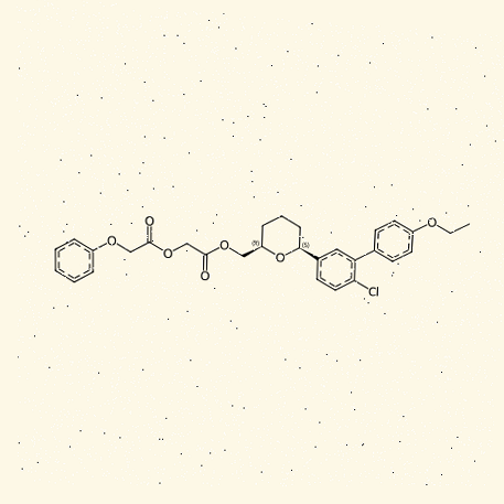 CCOc1ccc(-c2cc([C@@H]3CCC[C@H](COC(=O)COC(=O)COc4ccccc4)O3)ccc2Cl)cc1